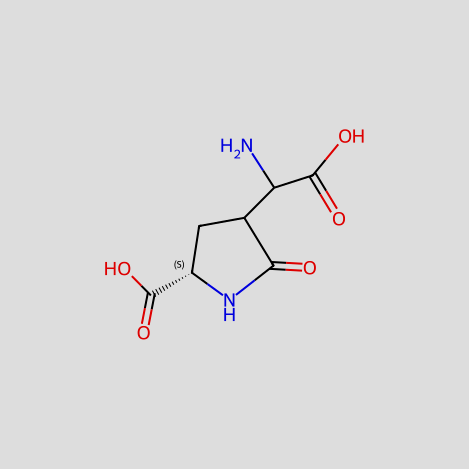 NC(C(=O)O)C1C[C@@H](C(=O)O)NC1=O